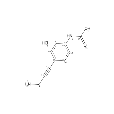 Cl.NCC#Cc1ccc(NC(=O)O)cc1